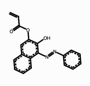 C=CC(=O)Oc1cc2ccccc2c(N=Nc2ccccc2)c1O